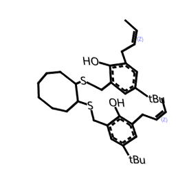 C/C=C\Cc1cc(C(C)(C)C)cc(CSC2CCCCCCC2SCc2cc(C(C)(C)C)cc(C/C=C\C)c2O)c1O